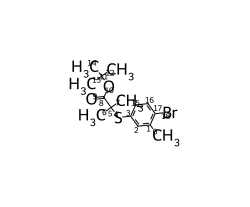 Cc1cc(SC(C)(C)C(=O)OC(C)(C)C)ccc1Br